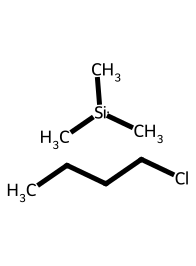 CCCCCl.C[Si](C)C